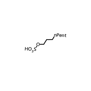 CCCCCCCCOS(=O)(=O)O